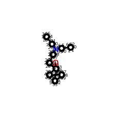 c1ccc(-c2ccc(N(c3ccc(-c4ccccc4)cc3)c3ccc(-c4cccc5c4oc4ccc6c(c45)-c4ccccc4C64c5ccccc5-c5ccccc54)cc3)cc2)cc1